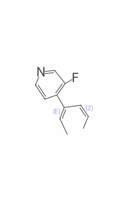 C/C=C\C(=C/C)c1ccncc1F